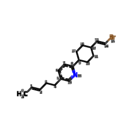 C/C=C/CCc1ccc(C2CCC(/C=C/Br)CC2)nc1